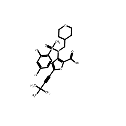 CC(C)(C)C#Cc1cc(N(CC2CCOCC2)P(C)(=O)c2ccc(Cl)cc2Cl)c(C(=O)O)s1